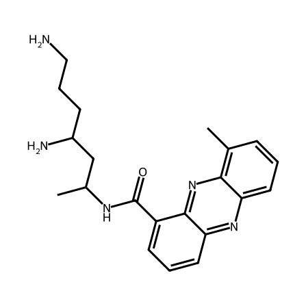 Cc1cccc2nc3cccc(C(=O)NC(C)CC(N)CCCN)c3nc12